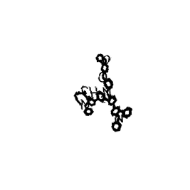 C=C1/C=C\C=C/CN(c2ccccc2)c2ccc(-c3ccc4c(c3)c3cc(-c5ccc6c(c5)c5ccccc5n6-c5ccccc5)ccc3n4-c3cccc(Oc4ccc5oc6ccccc6c5c4)c3)cc21